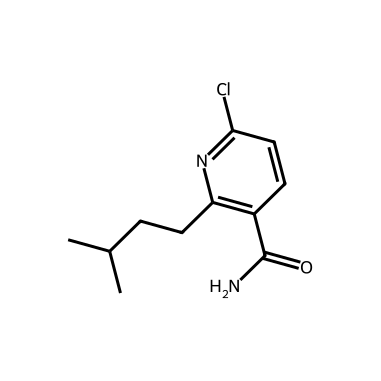 CC(C)CCc1nc(Cl)ccc1C(N)=O